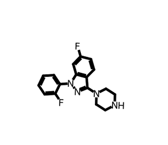 Fc1ccc2c(N3CCNCC3)nn(-c3ccccc3F)c2c1